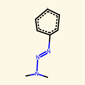 CN(C)N=Nc1cc[c]cc1